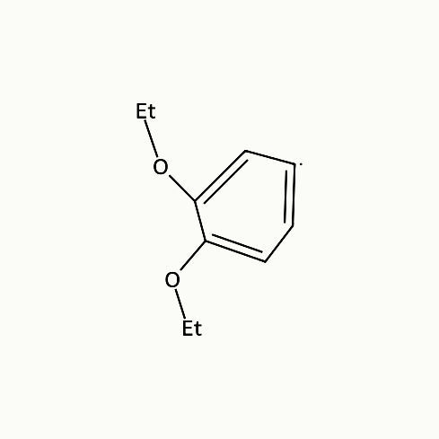 CCOc1c[c]ccc1OCC